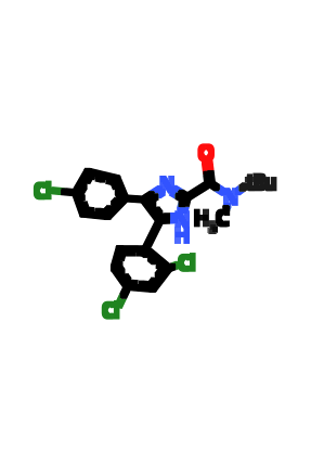 CN(C(=O)c1nc(-c2ccc(Cl)cc2)c(-c2ccc(Cl)cc2Cl)[nH]1)C(C)(C)C